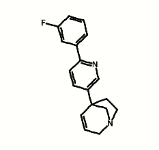 Fc1cccc(-c2ccc(C34C=CCN(CC3)C4)cn2)c1